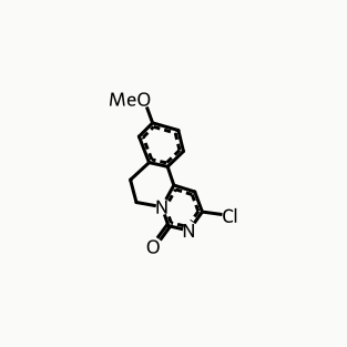 COc1ccc2c(c1)CCn1c-2cc(Cl)nc1=O